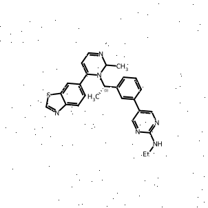 CCNc1ncc(-c2cccc([C@H](C)N3C(c4ccc5ncsc5c4)=CC=NC3C)c2)cn1